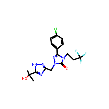 CC(C)(O)c1nc(Cn2nc(-c3ccc(Cl)cc3)n(CCC(F)(F)F)c2=O)n[nH]1